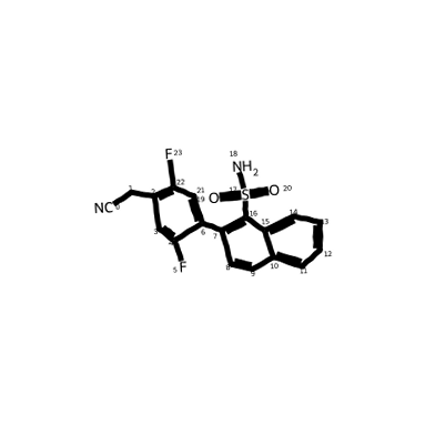 N#CCc1cc(F)c(-c2ccc3ccccc3c2S(N)(=O)=O)cc1F